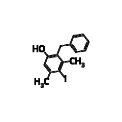 Cc1cc(O)c(Cc2ccccc2)c(C)c1I